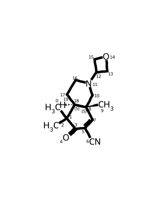 CC1(C)C(=O)C(C#N)=C[C@@]2(C)CN(C3COC3)CC[C@H]12